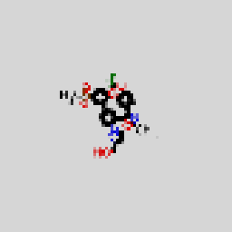 Cc1nc(-c2ccc3c(c2)OC(F)(F)O3)c(-c2cc(-c3cccc(S(C)(=O)=O)c3)ccc2-n2ccc(CO)n2)o1